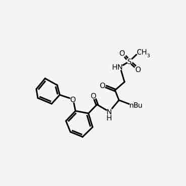 CCCCC(NC(=O)c1ccccc1Oc1ccccc1)C(=O)CNS(C)(=O)=O